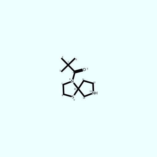 CC(C)(C)C(=O)N1CCSC12CCNC2